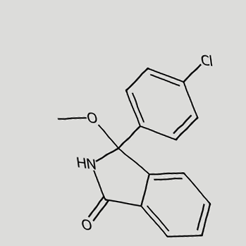 COC1(c2ccc(Cl)cc2)NC(=O)c2ccccc21